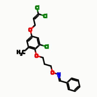 Cc1cc(OCC=C(Cl)Cl)cc(Cl)c1OCCCO/N=C/c1ccccc1